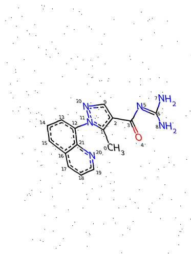 Cc1c(C(=O)N=C(N)N)cnn1-c1cccc2cccnc12